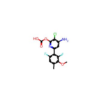 COc1c(C)cc(F)c(-c2cc(N)c(Cl)c(OC(=O)O)n2)c1F